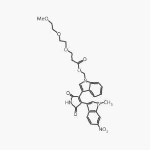 COCCOCCOCCC(=O)OCn1cc(C2=C(c3cn(C)c4cc([N+](=O)[O-])ccc34)C(=O)NC2=O)c2ccccc21